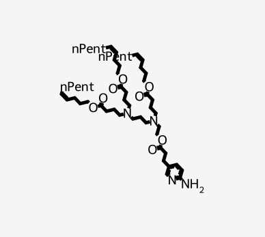 CCCCC/C=C\CCCOC(=O)CCCN(CCCC(=O)OCCC/C=C\CCCCC)CCCN(CCCC(=O)OCCC/C=C\CCCCC)CCOC(=O)CCc1ccc(N)nc1